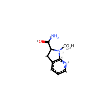 NC(=O)C1Cc2cccnc2N1C(=O)O